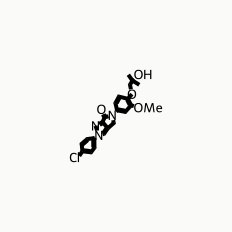 COc1cc(N2Cc3cn(-c4ccc(Cl)cc4)nc3C2=O)ccc1OCC(C)(C)O